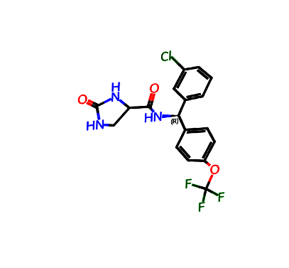 O=C1NCC(C(=O)N[C@H](c2ccc(OC(F)(F)F)cc2)c2cccc(Cl)c2)N1